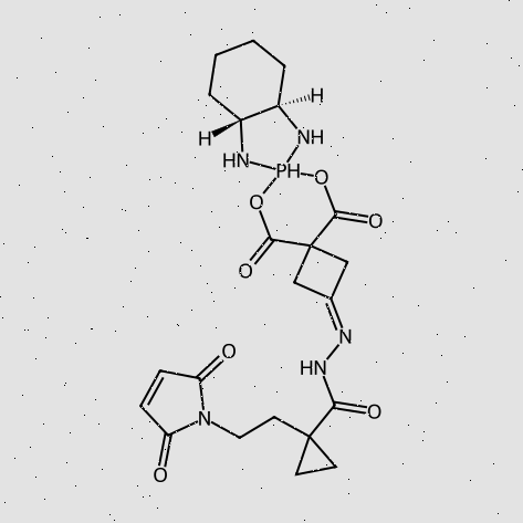 O=C1C=CC(=O)N1CCC1(C(=O)NN=C2CC3(C2)C(=O)O[PH]2(N[C@@H]4CCCC[C@H]4N2)OC3=O)CC1